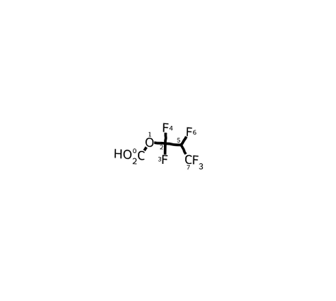 O=C(O)OC(F)(F)C(F)C(F)(F)F